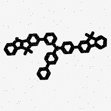 CC1(C)c2ccccc2-c2ccc(-c3ccc(N(c4ccc(-c5ccccc5)cc4)c4cccc(-c5ccc6c(c5)C(C)(C)c5c-6sc6ccccc56)c4)cc3)cc21